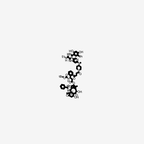 CCNC(=O)C(=N)N(C(=N)c1cc(C(C)C)c(O)cc1O)c1ccc(N(C)C2CCN(C(=O)CCC(=O)O[C@H](C(=O)O[C@@H]3C[C@]4(O)[C@H](OC(=O)c5ccccc5)[C@H]5C6(OC(C)=O)COC6C[C@@H](O)[C@]5(C)C(=O)[C@@H](O)C(=C3C)C4(C)C)[C@H](NC(=O)OC(C)(C)C)c3ccccc3)CC2)nc1